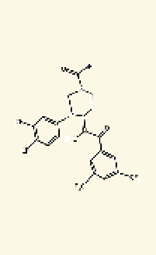 CC(C)C(=O)N1CC[C@@H](N(C)C(=O)c2cc(C(F)(F)F)cc(C(F)(F)F)c2)[C@H](c2ccc(Cl)c(Cl)c2)C1